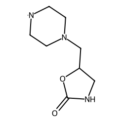 O=C1NCC(CN2CC[N]CC2)O1